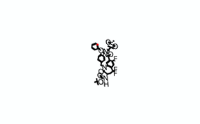 CC(C)(C)OC(=O)N[C@@H]1CC(F)(F)c2cc(F)c(-c3nnc(C(C)(C)S(C)(=O)=O)o3)cc2N(Cc2ccc(Oc3ccccc3)cc2)C1=O